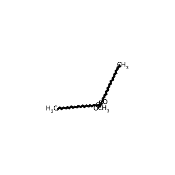 CCC=CCC=CCC=CCC=CCC=CCC=CCCC(=O)OCC(C)OC(=O)CCC=CCC=CCC=CCC=CCC=CCC=CCC